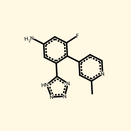 Cc1cc(-c2c(F)cc(N)cc2-c2nnn[nH]2)ccn1